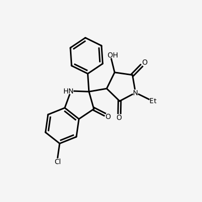 CCN1C(=O)C(O)C(C2(c3ccccc3)Nc3ccc(Cl)cc3C2=O)C1=O